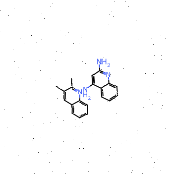 Cc1cc2ccccc2nc1C.Nc1cc(N)c2ccccc2n1